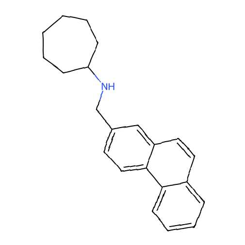 c1ccc2c(c1)ccc1cc(CNC3CCCCCC3)ccc12